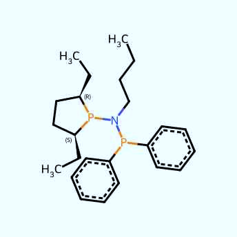 CCCCN(P(c1ccccc1)c1ccccc1)P1[C@H](CC)CC[C@@H]1CC